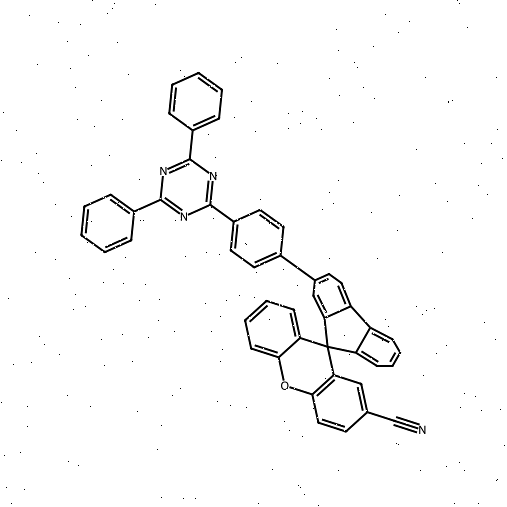 N#Cc1ccc2c(c1)C1(c3ccccc3O2)c2ccccc2-c2ccc(-c3ccc(-c4nc(-c5ccccc5)nc(-c5ccccc5)n4)cc3)cc21